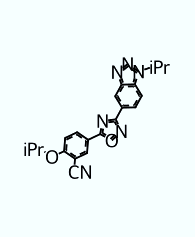 CC(C)Oc1ccc(-c2nc(-c3ccc4c(c3)nnn4C(C)C)no2)cc1C#N